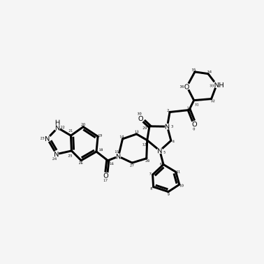 O=C(CN1CN(c2ccccc2)C2(CCN(C(=O)c3ccc4[nH]nnc4c3)CC2)C1=O)C1CNCCO1